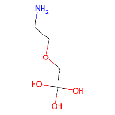 NCCOCC(O)(O)O